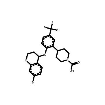 O=C(O)N1CCC(c2cc(C(F)(F)F)ccc2OC2CCOc3cc(Br)ccc32)CC1